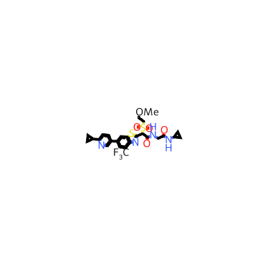 COCCS(=O)(=O)C(C(=O)NCC(=O)NC1CC1)c1nc2cc(C(F)(F)F)c(-c3ccc(C4CC4)nc3)cc2s1